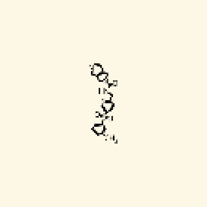 Cc1cccc(S(=O)(=O)c2ccc(CNC(=O)N3Cc4ccncc4C3)nc2)c1